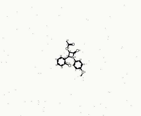 COc1ccc(N2C(=O)C(OC(C)=O)C2c2ccccc2Cl)cc1